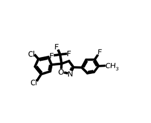 Cc1ccc(C2=NOC(c3cc(Cl)cc(Cl)c3)(C(F)(F)F)C2)cc1F